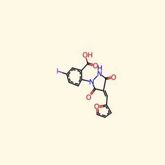 O=C1NN(c2ccc(I)cc2C(=O)O)C(=O)/C1=C\c1ccco1